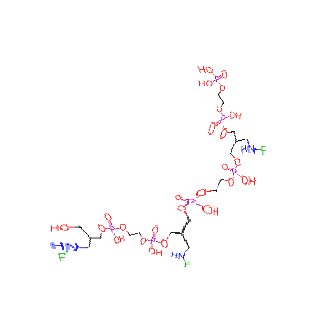 O=P(O)(O)OCCOP(=O)(O)OCC(CNF)COP(=O)(O)OCCOP(=O)(O)OCC(CNF)COP(=O)(O)OCCOP(=O)(O)OCC(CO)CNF